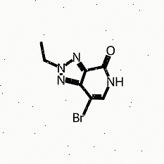 CCn1nc2c(Br)c[nH]c(=O)c2n1